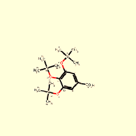 C[Si](C)(C)Oc1cc(C(=O)O)cc(O[Si](C)(C)C)c1O[Si](C)(C)C